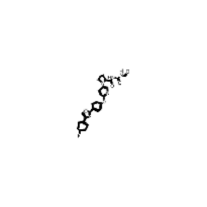 O=CNC(=O)NC(=O)C1CCCN1c1ccc(Oc2ccc(-c3nc(-c4ccc(F)cc4)co3)cc2)nc1